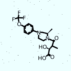 CC(C(=O)N1CCN(c2ccc(OC(F)(F)F)cc2)C[C@H]1C)[C@H](O)C(=O)O